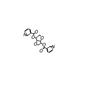 O=C(OC1COC2C(OC(=O)c3cccnc3)COC12)c1cccnc1